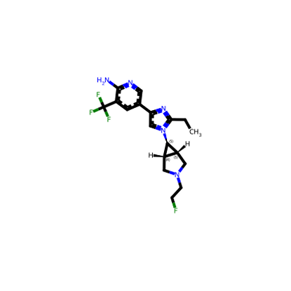 CCc1nc(-c2cnc(N)c(C(F)(F)F)c2)cn1[C@H]1[C@@H]2CN(CCF)C[C@@H]21